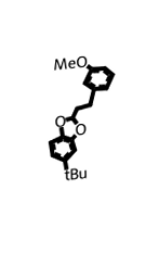 COc1cccc(CCC2Oc3ccc(C(C)(C)C)cc3O2)c1